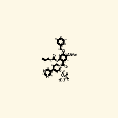 C=CCOC(=O)Nc1cc(OCc2ccccc2)c(OC)cc1C(=O)N1CCC(c2cncnc2)=C[C@H]1CO[Si](C)(C)C(C)(C)C